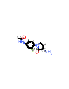 CC(=O)Nc1ccc(N2CC[C@H](N)C2=O)c(F)c1